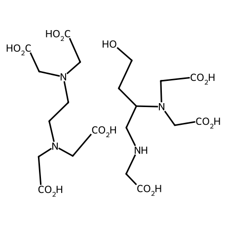 O=C(O)CN(CCN(CC(=O)O)CC(=O)O)CC(=O)O.O=C(O)CNCC(CCO)N(CC(=O)O)CC(=O)O